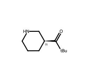 CC(C)(C)C(=O)[C@H]1CCCNC1